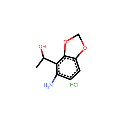 CC(O)c1c(N)ccc2c1OCO2.Cl